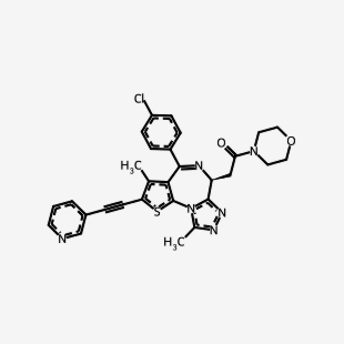 Cc1c(C#Cc2cccnc2)sc2c1C(c1ccc(Cl)cc1)=N[C@@H](CC(=O)N1CCOCC1)c1nnc(C)n1-2